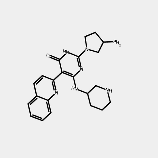 O=c1[nH]c(N2CCC(P)C2)nc(NC2CCCNC2)c1-c1ccc2ccccc2n1